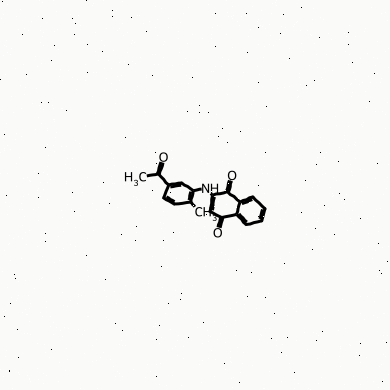 CC(=O)c1ccc(C)c(NC2=CC(=O)c3ccccc3C2=O)c1